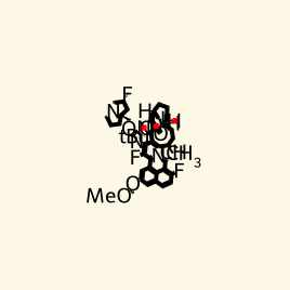 C#Cc1c(F)ccc2cc(OCOC)cc(-c3nc4c5c(nc(OC[C@@]67CCCN6C[C@H](F)C7)nc5c3F)N3C[C@H]5CC[C@@H]([C@H]3CC[C@H]4C)N5C(=O)OC(C)(C)C)c12